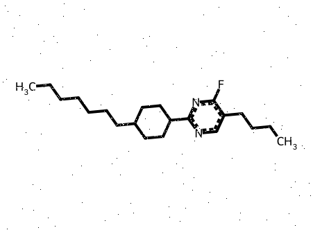 CCCCCCCC1CCC(c2ncc(CCCC)c(F)n2)CC1